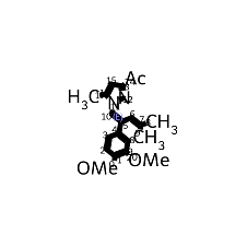 COc1ccc(/C(C=C(C)C)=C/n2nc(C(C)=O)cc2C)cc1OC